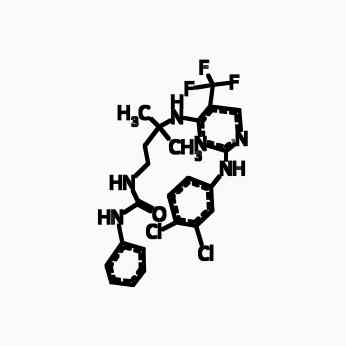 CC(C)(CCNC(=O)Nc1ccccc1)Nc1nc(Nc2ccc(Cl)c(Cl)c2)ncc1C(F)(F)F